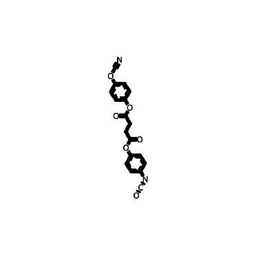 N#COc1ccc(OC(=O)CCC(=O)Oc2ccc(N=C=O)cc2)cc1